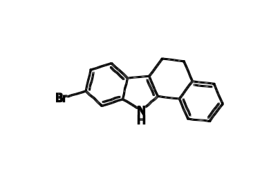 Brc1ccc2c3c([nH]c2c1)-c1ccccc1CC3